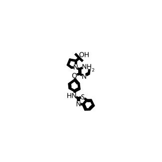 C/C=N\C(Oc1ccc(Nc2nc3ccccc3s2)cc1)=C(/N)N1CCCC1C(C)(C)O